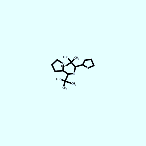 CC(C)(C)C(OC(C1CCCO1)C(C)(C)C)C1CCCO1